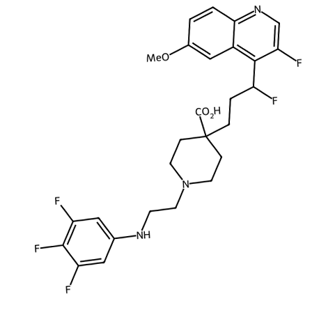 COc1ccc2ncc(F)c(C(F)CCC3(C(=O)O)CCN(CCNc4cc(F)c(F)c(F)c4)CC3)c2c1